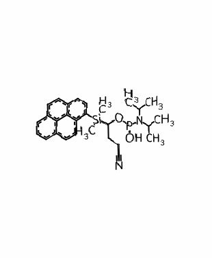 CC(C)N(C(C)C)P(O)OC(CCC#N)[Si](C)(C)c1ccc2ccc3cccc4ccc1c2c34